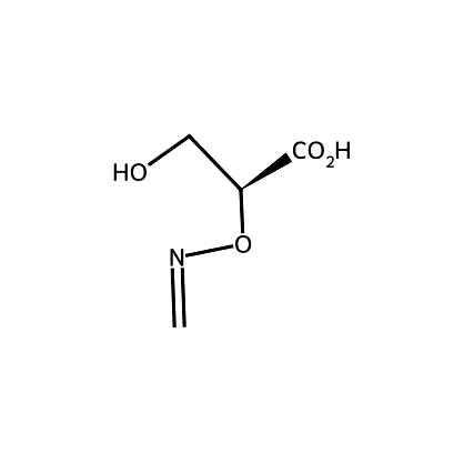 C=NO[C@@H](CO)C(=O)O